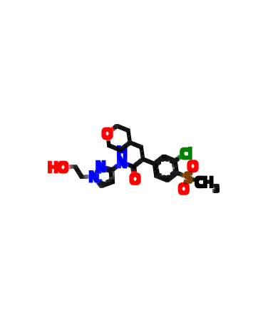 CS(=O)(=O)c1ccc(C(CC2CCOCC2)C(=O)Nc2ccn(CCO)n2)cc1Cl